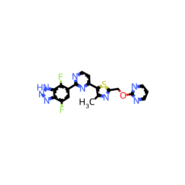 Cc1nc(COc2ncccn2)sc1-c1ccnc(-c2cc(F)c3nn[nH]c3c2F)n1